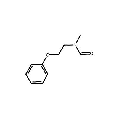 CN(C=O)CCOc1ccccc1